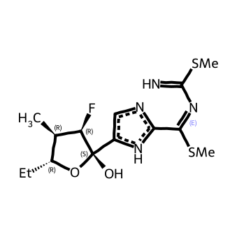 CC[C@H]1O[C@@](O)(c2cnc(/C(=N\C(=N)SC)SC)[nH]2)[C@H](F)[C@@H]1C